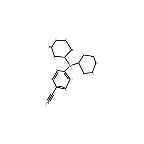 N#Cc1ccc(N(C2CCCCC2)C2CCCCC2)cc1